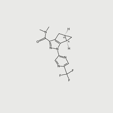 CN(C)C(=O)c1nn(-c2cnc(C(F)(F)F)cn2)c2c1C[C@H]1C[C@@H]21